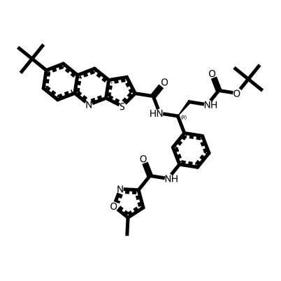 Cc1cc(C(=O)Nc2cccc([C@H](CNC(=O)OC(C)(C)C)NC(=O)c3cc4cc5cc(C(C)(C)C)ccc5nc4s3)c2)no1